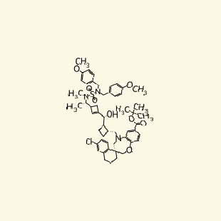 COc1ccc(CN(Cc2ccc(OC)cc2)S(=O)(=O)N(C)[C@@H](C)C2C=C([C@H](O)[C@@H]3CC[C@H]3CN3C[C@@]4(CCCc5cc(Cl)ccc54)COc4ccc(C(=O)OC(C)(C)C)cc43)C2)cc1